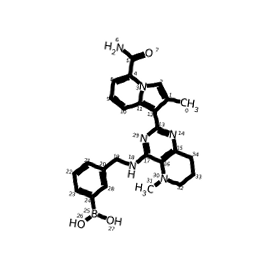 Cc1cn2c(C(N)=O)cccc2c1-c1nc2c(c(NCc3cccc(B(O)O)c3)n1)N(C)CCC2